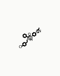 Cc1cn(-c2ccc(NC(=O)[C@@H](NCCc3ccc(Cl)cc3)c3ccccc3)cc2)cn1